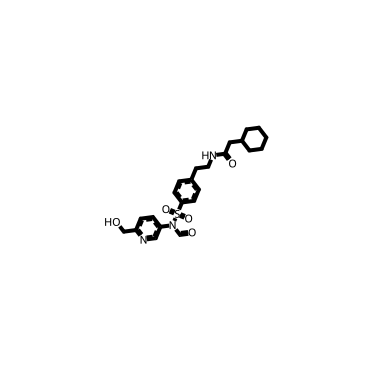 O=CN(c1ccc(CO)nc1)S(=O)(=O)c1ccc(CCNC(=O)CC2CCCCC2)cc1